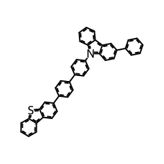 c1ccc(-c2ccc3c(c2)c2ccccc2n3-c2ccc(-c3ccc(-c4ccc5c(c4)sc4ccccc45)cc3)cc2)cc1